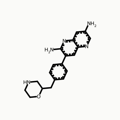 Nc1cnc2cc(-c3ccc(CC4CNCCO4)cc3)c(N)nc2c1